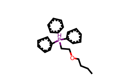 CCCCOCC[PH](c1ccccc1)(c1ccccc1)c1ccccc1